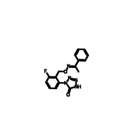 CC(=NOCc1c(F)cccc1-n1nn[nH]c1=O)c1ccccc1